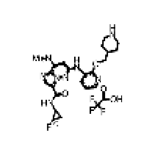 CNc1cc(Nc2cccnc2OCC2CCNCC2)nn2c(C(=O)NC3C[C@@H]3F)cnc12.O=C(O)C(F)(F)F